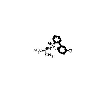 CN(C)C=NS(=O)(=O)c1ccccc1-c1cccc(Cl)c1